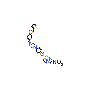 O=[N+]([O-])c1cn2c(n1)O[C@@H](COc1ccc(N3CCN(Cc4ccc(OCc5cccs5)cc4)CC3)cc1)CC2